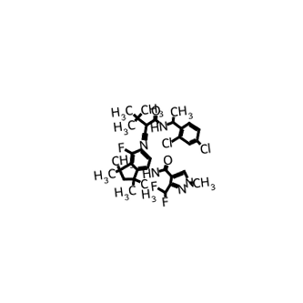 CC(NC(=O)C(C#N)C(C)(C)C)c1ccc(Cl)cc1Cl.Cn1cc(C(=O)Nc2ccc(F)c3c2C(C)(C)CC3(C)C)c(C(F)F)n1